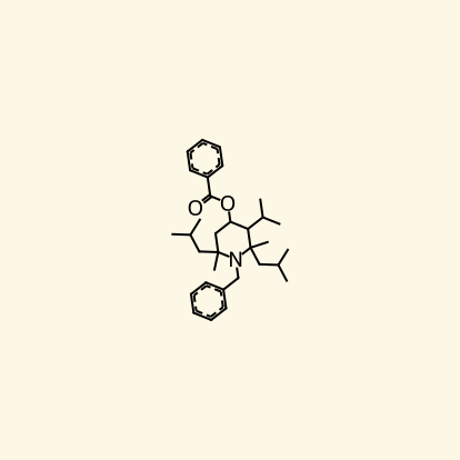 CC(C)CC1(C)CC(OC(=O)c2ccccc2)C(C(C)C)C(C)(CC(C)C)N1Cc1ccccc1